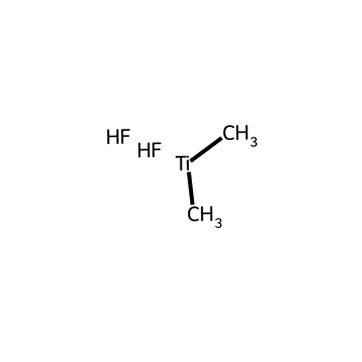 F.F.[CH3][Ti][CH3]